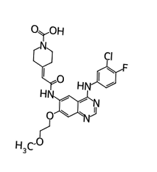 COCCOc1cc2ncnc(Nc3ccc(F)c(Cl)c3)c2cc1NC(=O)C=C1CCN(C(=O)O)CC1